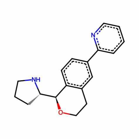 c1ccc(-c2ccc3c(c2)CCO[C@H]3[C@@H]2CCCN2)nc1